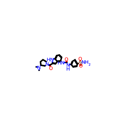 CN(C)C1CCCN(C(=O)c2cc3c(NC(=O)Nc4ccc(S(N)(=O)=O)cc4)cccc3[nH]2)C1